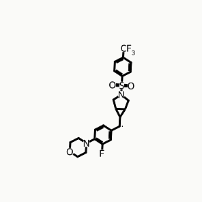 O=S(=O)(c1ccc(C(F)(F)F)cc1)N1CC2C([CH]c3ccc(N4CCOCC4)c(F)c3)C2C1